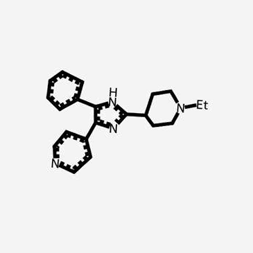 CCN1CCC(c2nc(-c3ccncc3)c(-c3ccccc3)[nH]2)CC1